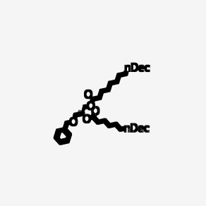 CCCCCCCCCCCCCCCCCC(=O)OC[C@H](COCc1ccccc1)OC(=O)CCCCCCCCCCCCCCC